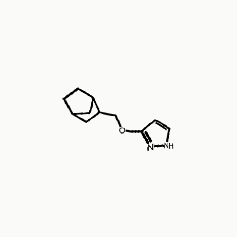 c1cc(OCC2CC3CCC2C3)n[nH]1